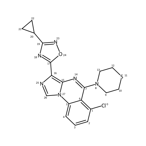 Clc1cccc2c1c(N1CCSCC1)nc1c(-c3nc(C4CC4)no3)ncn12